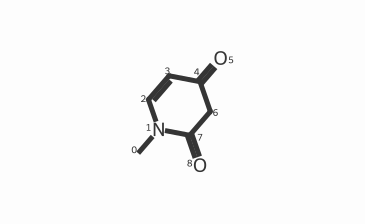 CN1C=CC(=O)CC1=O